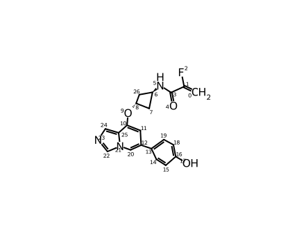 C=C(F)C(=O)N[C@H]1C[C@H](Oc2cc(-c3ccc(O)cc3)cn3cncc23)C1